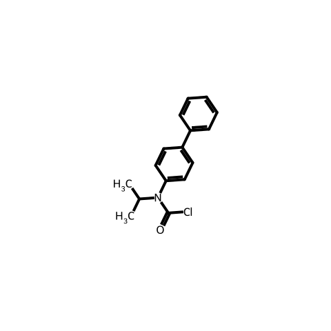 CC(C)N(C(=O)Cl)c1ccc(-c2ccccc2)cc1